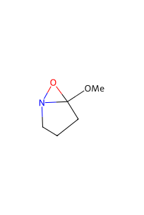 COC12CCCN1O2